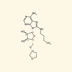 CCCCNc1nc2c(N)ncnc2n1[C@@H]1O[C@H](CO[C@@H]2CCOC2)[C@@H](O)[C@H]1O